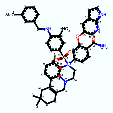 COc1cccc(CNc2ccc(S(=O)(=O)[N+]3(c4ccc(C(N)=O)c(Oc5cnc6[nH]ccc6c5)c4)CCN(CC4=C(c5ccc(Cl)cc5)CC(C)(C)CC4)CC3)cc2[N+](=O)[O-])c1